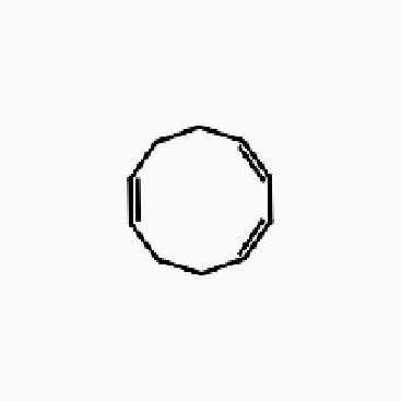 [C]1=C\C=C/CC/C=C\CC/1